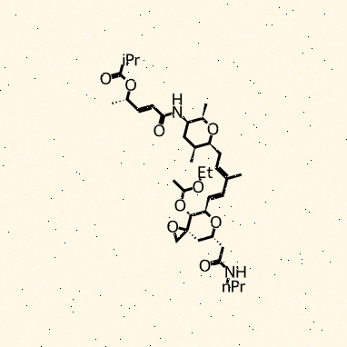 CCCNC(=O)C[C@@H]1C[C@@]2(CO2)[C@H](OC(C)OCC)[C@@H](C=CC(C)=CC[C@@H]2O[C@H](C)[C@H](NC(=O)C=C[C@H](C)OC(=O)C(C)C)C[C@@H]2C)O1